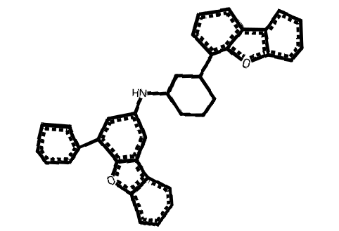 c1ccc(-c2cc(NC3CCCC(c4cccc5c4oc4ccccc45)C3)cc3c2oc2ccccc23)cc1